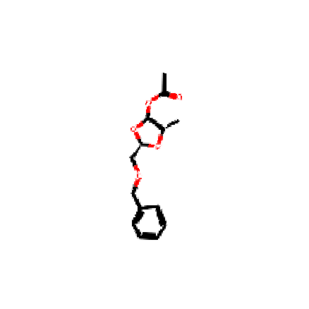 CC(=O)OC1O[C@H](COCc2ccccc2)O[C@@H]1C